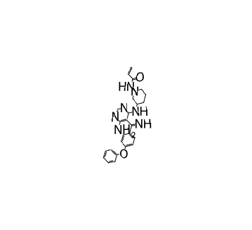 C=CC(=O)NN1CCCC(Nc2ncnc(N)c2C(=N)c2ccc(Oc3ccccc3)cc2)C1